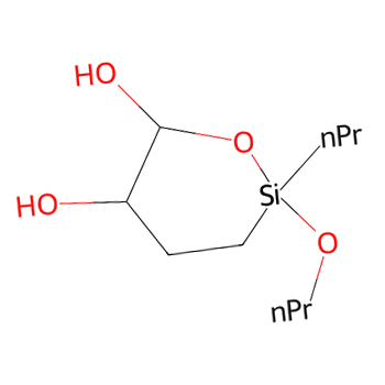 CCCO[Si]1(CCC)CCC(O)C(O)O1